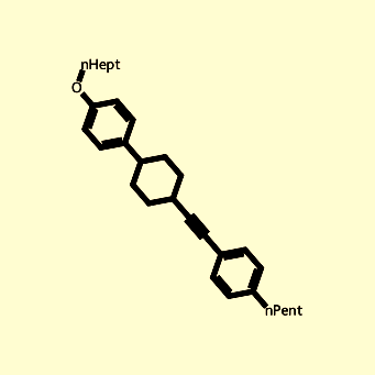 CCCCCCCOc1ccc(C2CCC(C#Cc3ccc(CCCCC)cc3)CC2)cc1